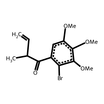 C=CC(C)C(=O)c1cc(OC)c(OC)c(OC)c1Br